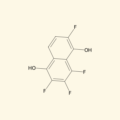 Oc1c(F)c(F)c(F)c2c(O)c(F)ccc12